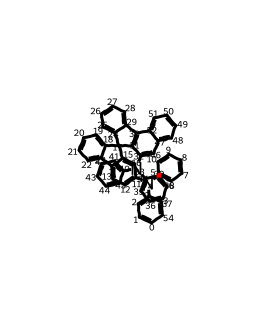 c1ccc(N(c2ccccc2)c2ccc3c(c2)C2(c4ccccc4-3)c3ccccc3-c3c2c(N(c2ccccc2)c2ccccc2)cc2ccccc32)cc1